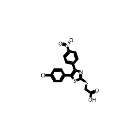 O=C(O)CSc1nc(-c2ccc([N+](=O)[O-])cc2)c(-c2ccc(Cl)cc2)s1